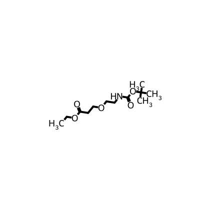 CCOC(=O)CCOCCNC(=O)OC(C)(C)C